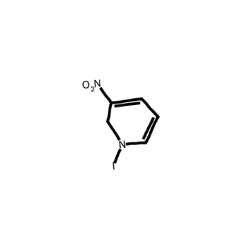 O=[N+]([O-])C1=CC=CN(I)C1